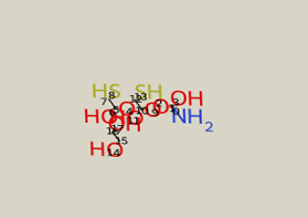 NC(=O)O.O=C(O)CS.O=C(O)CS.OCCO